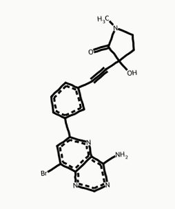 CN1CCC(O)(C#Cc2cccc(-c3cc(Br)c4ncnc(N)c4n3)c2)C1=O